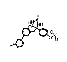 COc1cccc(-c2cccc(CC3(c4ccc(OS(C)(=O)=O)cc4)NC(=S)NC3=O)c2)c1